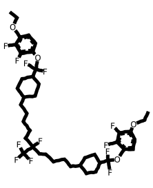 CCOc1ccc(OC(F)(F)C2CCC(CCCCCC(F)(CCCCCC3CCC(C(F)(F)Oc4ccc(OCC)c(F)c4F)CC3)C(F)(F)F)CC2)c(F)c1F